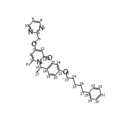 Cc1cc(OCc2ncccn2)cc(=O)n1[C@H](C)c1ccc(OCCCCCc2ccccc2)cc1